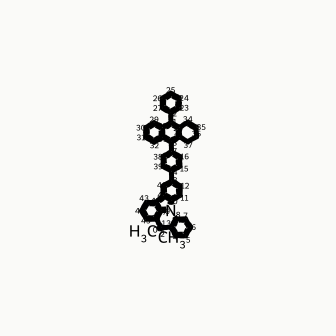 CC1(C)c2ccccc2-n2c3ccc(-c4ccc(-c5c6c(c(-c7ccccc7)c7ccccc57)C=CCC6)cc4)cc3c3cccc1c32